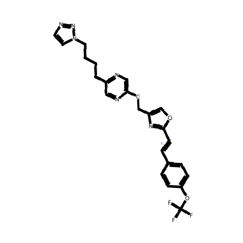 FC(F)(F)Oc1ccc(/C=C/c2nc(COc3cnc(CCCCn4ccnn4)cn3)co2)cc1